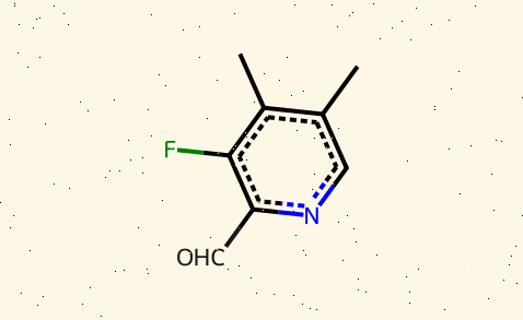 Cc1cnc(C=O)c(F)c1C